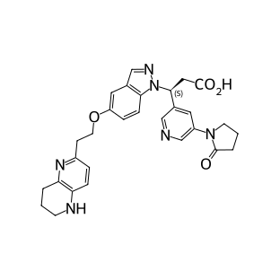 O=C(O)C[C@@H](c1cncc(N2CCCC2=O)c1)n1ncc2cc(OCCc3ccc4c(n3)CCCN4)ccc21